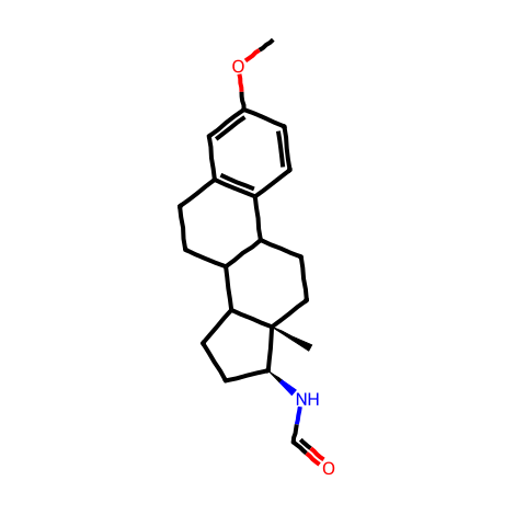 COc1ccc2c(c1)CCC1C2CC[C@@]2(C)C1CC[C@@H]2NC=O